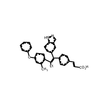 CCC(=C(c1ccc(C=CC(=O)O)cc1)c1ccc2[nH]ncc2c1)c1ccc(Oc2ccccc2)cc1C